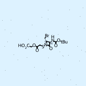 CC(C)(C)OC(=O)N[C@@H]1C(=O)N(SCC(=O)OCC(=O)O)[C@@H]1CBr